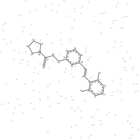 Cc1cccc(C)c1C=Cc1cccc(CCC(=O)N2CCCC2)c1